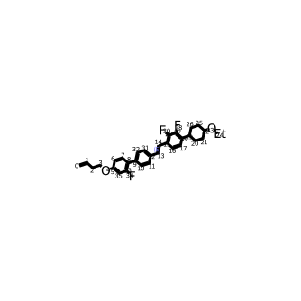 C=CCCOc1ccc(-c2ccc(/C=C/c3ccc(C4CCC(OCC)CC4)c(F)c3F)cc2)c(F)c1